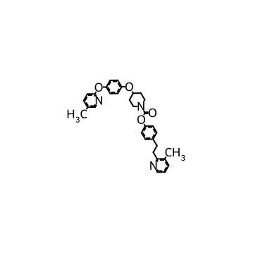 Cc1ccc(Oc2ccc(OC3CCN(C(=O)Oc4ccc(CCc5ncccc5C)cc4)CC3)cc2)nc1